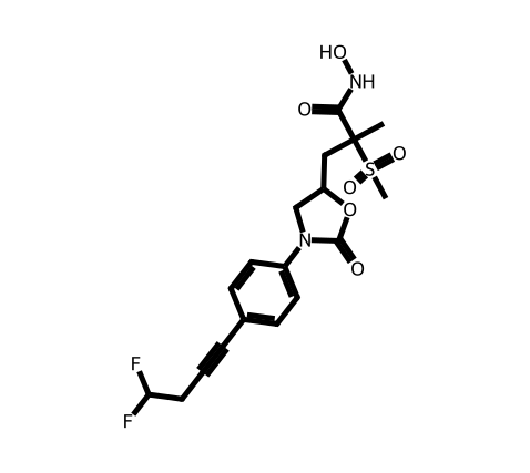 CC(CC1CN(c2ccc(C#CCC(F)F)cc2)C(=O)O1)(C(=O)NO)S(C)(=O)=O